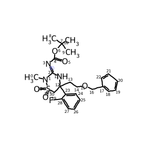 CN1/C(=N/C(=O)OC(C)(C)C)NC(CCOCc2ccccc2)(c2ccccc2F)CS1(=O)=O